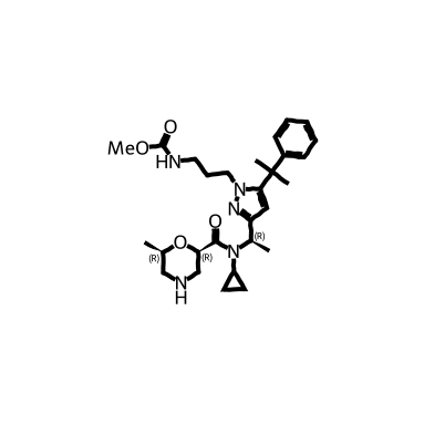 COC(=O)NCCCn1nc([C@@H](C)N(C(=O)[C@H]2CNC[C@@H](C)O2)C2CC2)cc1C(C)(C)c1ccccc1